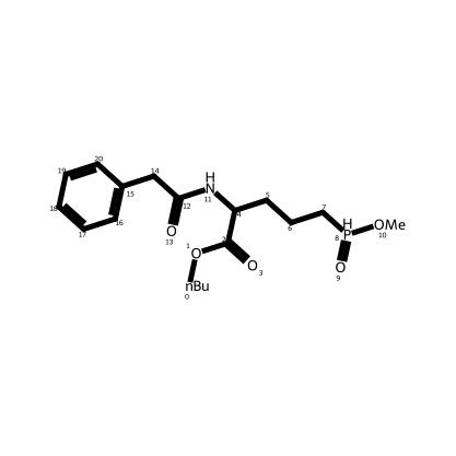 CCCCOC(=O)C(CCC[PH](=O)OC)NC(=O)Cc1ccccc1